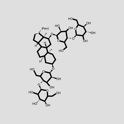 CCC[C@@H](C)[C@H]1CC[C@H]2C3CC[C@@H]4C[C@H](O[C@@H]5OC(CO)[C@@H](O[C@H]6OC(CO)[C@@H](O)[C@H](O)C6O)C(O)[C@@H]5O)CC[C@]4(C)[C@H]3C[C@H](O[C@@H]3OC(CO)[C@@H](O[C@H]4OC(CO)[C@@H](O)[C@H](O)C4O)C(O)[C@@H]3O)[C@]12C